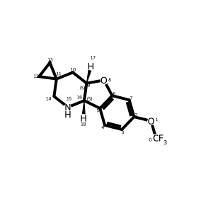 FC(F)(F)Oc1ccc2c(c1)O[C@H]1CC3(CC3)CN[C@@H]21